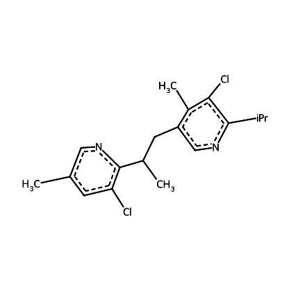 Cc1cnc(C(C)Cc2cnc(C(C)C)c(Cl)c2C)c(Cl)c1